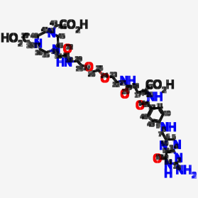 Nc1nc2ncc(CNc3ccc(C(=O)N[C@@H](CCC(=O)NCCOCCOCCNC(=O)CN4CCN(CC(=O)O)CCN(CC(=O)O)CC4)C(=O)O)cc3)nc2c(=O)[nH]1